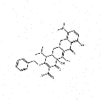 CN(C)c1ccc(O)c2c1CC1CC3C(N(C)C)C(OCc4ccccc4)=C(C(N)=O)C(=O)C3(O)C(O)=C1C2=O